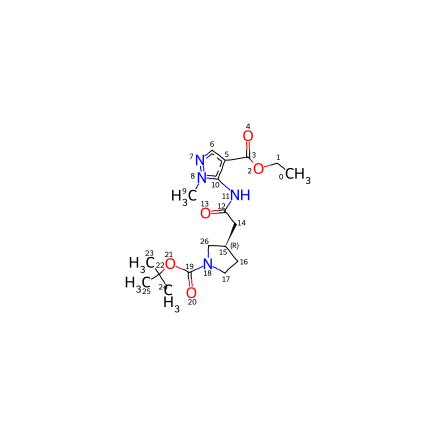 CCOC(=O)c1cnn(C)c1NC(=O)C[C@H]1CCN(C(=O)OC(C)(C)C)C1